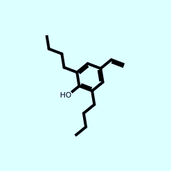 C=Cc1cc(CCCC)c(O)c(CCCC)c1